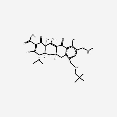 CNCc1cc(CNCC(C)(C)C)c2c(c1O)C(=O)C1=C(O)[C@]3(O)C(=O)C(C(N)=O)=C(O)[C@@H](N(C)C)[C@@H]3C[C@@H]1C2